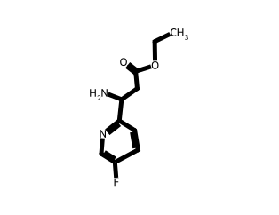 CCOC(=O)CC(N)c1ccc(F)cn1